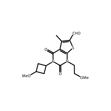 COCCn1c(=O)n(C2CC(OC)C2)c(=O)c2c(C)c(C=O)sc21